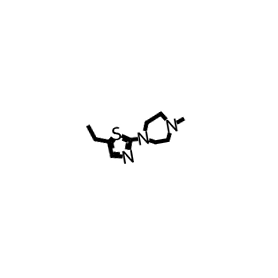 CCc1cnc(N2CCN(C)CC2)s1